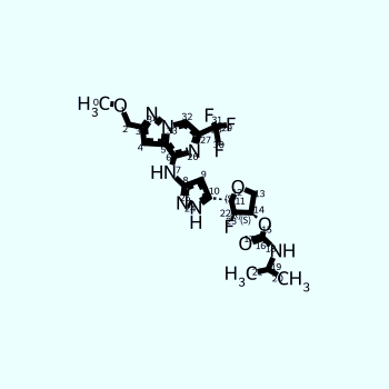 COCc1cc2c(Nc3cc([C@@H]4OC[C@H](OC(=O)NC(C)C)[C@@H]4F)[nH]n3)nc(C(F)(F)F)cn2n1